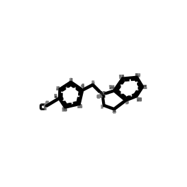 Clc1ccc(CN2CCc3ccccc32)cc1